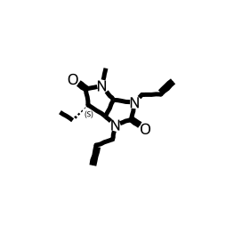 C=CCN1C(=O)N(CC=C)C2C1[C@H](CC)C(=O)N2C